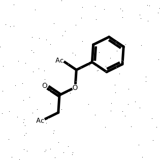 CC(=O)CC(=O)OC(C(C)=O)c1ccccc1